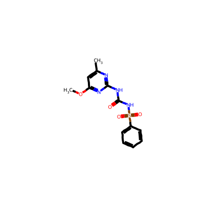 COc1cc(C)nc(NC(=O)NS(=O)(=O)c2ccccc2)n1